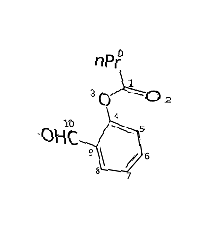 CCCC(=O)Oc1ccccc1[C]=O